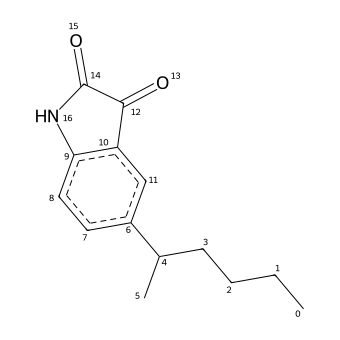 CCCCC(C)c1ccc2c(c1)C(=O)C(=O)N2